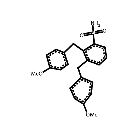 COc1ccc(Cc2cccc(S(N)(=O)=O)c2Cc2ccc(OC)cc2)cc1